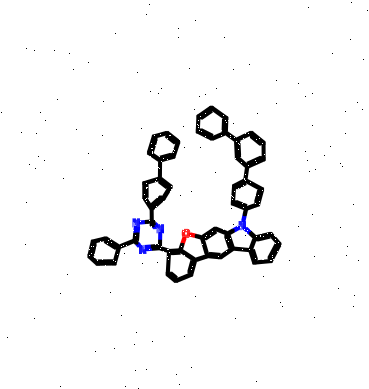 c1ccc(-c2ccc(-c3nc(-c4ccccc4)nc(-c4cccc5c4oc4cc6c(cc45)c4ccccc4n6-c4ccc(-c5cccc(-c6ccccc6)c5)cc4)n3)cc2)cc1